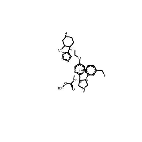 CCC1CNCC[C@@]1(CCOc1cnc([C@]2(NC(=O)OC(C)(C)C)CNC[C@@H]2c2cc(CF)ccc2F)nc1)c1cnno1